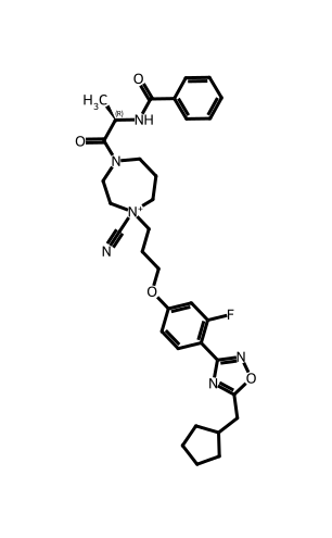 C[C@@H](NC(=O)c1ccccc1)C(=O)N1CCC[N+](C#N)(CCCOc2ccc(-c3noc(CC4CCCC4)n3)c(F)c2)CC1